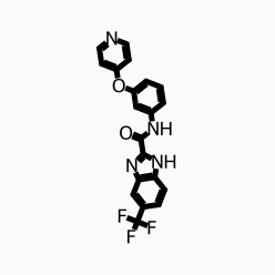 O=C(Nc1cccc(Oc2ccncc2)c1)c1nc2cc(C(F)(F)F)ccc2[nH]1